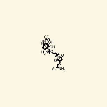 CC(=O)C(N)CSC1CC(=O)N(C(C)(C)CCOC(C)(N)C[C@@]23CC[C@@H](O2)[C@@H](NC(=O)C(F)(F)F)[C@@H](O)[C@H]3O)C1=O